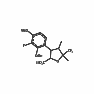 CCOC(=O)C1OC(C)(C(F)(F)F)C(C)C1c1ccc(OC)c(F)c1OC